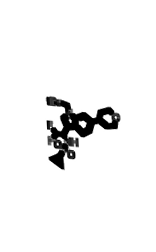 CC(C)(C)Cn1cc(C(NS(=O)(=O)C2CC2)C(F)F)c2ccc(C3=CCOCC3)cc21